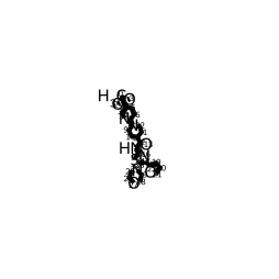 CS(=O)(=O)c1ccc(N2CCC(C(=O)Nc3nc(-c4ccco4)c(N4CCOCC4)s3)CC2)nc1